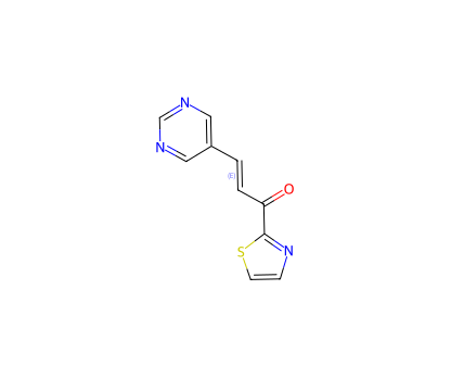 O=C(/C=C/c1cncnc1)c1nccs1